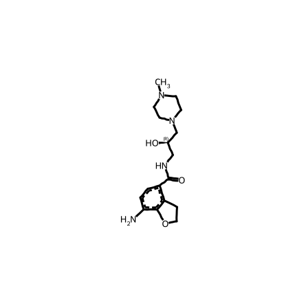 CN1CCN(C[C@H](O)CNC(=O)c2ccc(N)c3c2CCO3)CC1